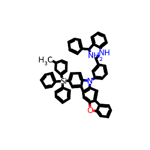 CC1C=CC=C([Si](c2ccccc2)(c2ccccc2)c2ccc3c(c2)c2cc4oc5ccccc5c4cc2n3-c2cccc(CNc3ccccc3C(N)c3ccccc3)c2)C1